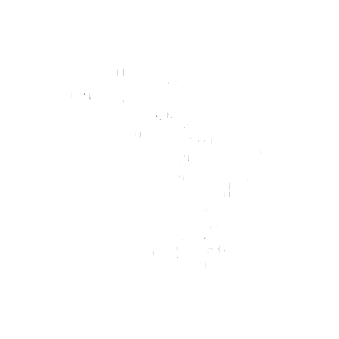 Cc1c(-c2ccc(N3CCc4c(CC5O[C@H](CO)[C@@H](O)[C@H](O)[C@H]5O)ccc(C(=O)Nc5nc6ccccc6s5)c4C3)nc2C(=O)O)cnn1CC12CC3(C)CC(C)(C1)CC(OCCN)(C3)C2